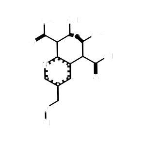 COCc1cnc(C(C(=O)O)C(=O)O)c(C(C(=O)O)C(=O)O)c1